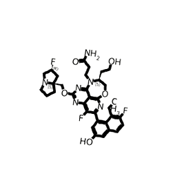 CCc1c(F)ccc2cc(O)cc(-c3nc4c5c(nc(OC[C@@]67CCCN6C[C@H](F)C7)nc5c3F)N(CCC(N)=O)[C@@H](CCO)CO4)c12